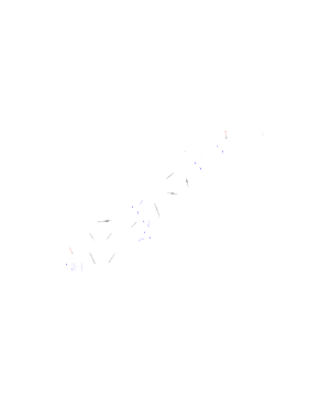 C[C@H]1CN(C(=O)OC(C)(C)C)CCN1c1ccc(-c2cnc3c(-c4cccc5c(C(N)=O)cccc45)cnn3c2)cc1